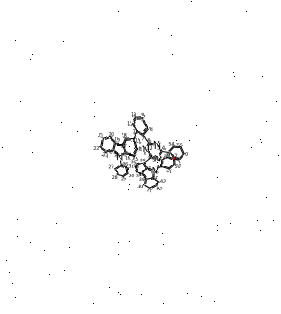 c1ccc(-c2nc(-c3ccccc3-c3ccc4c(c3)c3ccccc3n4-c3ccccc3)nc(-c3cccc4c5ccccc5n(-c5ccccc5)c34)n2)cc1